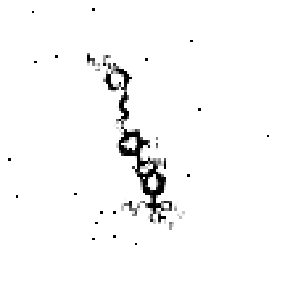 CN1CCN(CCCOc2ccc(-c3nc4cc(C(C)(C)C)ccc4[nH]3)c(Cl)c2)CC1